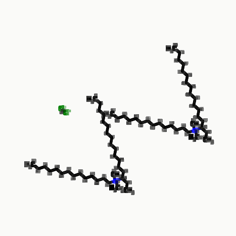 CCCCCCCCCCCCCCC(CC)[N+](C)(C)CCCCCCCCCCCCCC.CCCCCCCCCCCCCCC(CC)[N+](C)(C)CCCCCCCCCCCCCC.[Cl-].[Cl-]